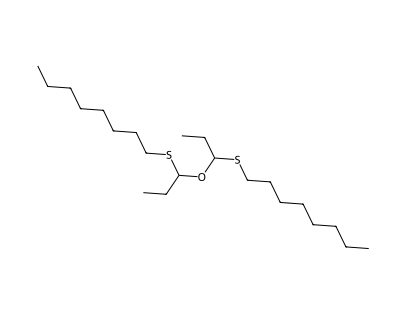 CCCCCCCCSC(CC)OC(CC)SCCCCCCCC